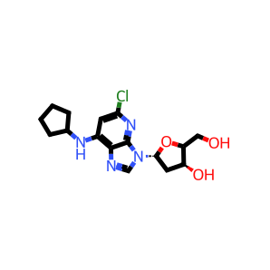 OCC1O[C@@H](n2cnc3c(NC4CCCC4)cc(Cl)nc32)C[C@@H]1O